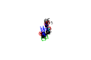 O=C(Nc1cc(Cc2c[nH]c(=O)c3cc(Cl)c(Cl)n23)ccc1F)C1CN(OC(=O)C(F)(F)F)C1